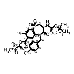 CC(C)(C)OC(=O)N[C@H]1CS(=O)(=O)c2cc(F)c(-c3nnc(S(C)(=O)=O)o3)cc2N(Cc2ccc(Cl)cc2)C1=O